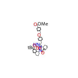 COC(=O)c1ccc(COc2ccc(CC(NC(=O)OC(C)(C)C)C(=O)C3CC=CC[C@H]3C(=O)NC3CCCc4ccccc43)cc2)cc1